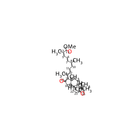 COC(=O)C(C)=CC=CC(C)=CC=CC(C)=C1C(=O)C[C@@H]2[C@@]3(C)CCC(=O)C(C)(C)[C@@H]3CC[C@@]12C